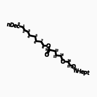 CCCCCCCCCCCCCCCCCCOC(=O)CCCOCCOCCCCCCC